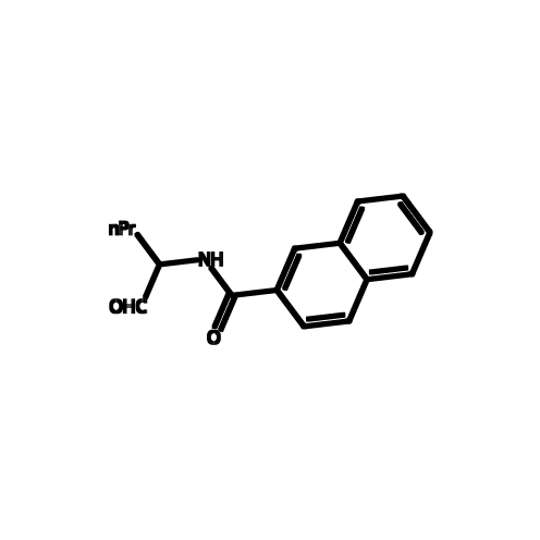 CCCC(C=O)NC(=O)c1ccc2ccccc2c1